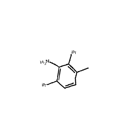 Cc1ccc(C(C)C)c(N)c1C(C)C